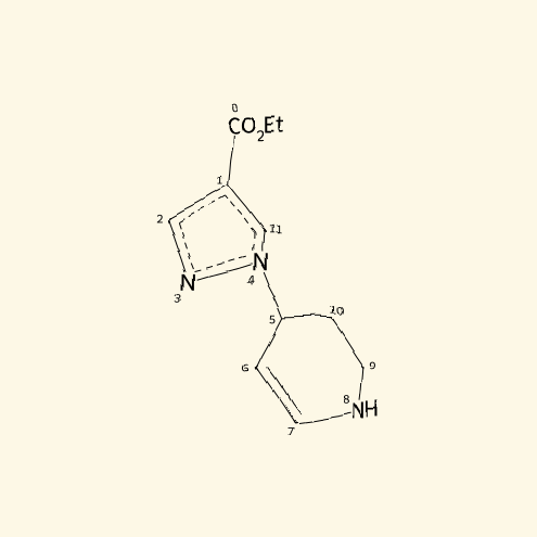 CCOC(=O)c1cnn(C2C=CNCC2)c1